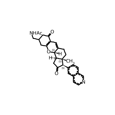 CC(=O)NCC1CC(=O)C2=C(C1)O[C@@H]1C(=C2)CC[C@]2(C)[C@@H](c3ccc4cnccc4c3)C(=O)C[C@@H]12